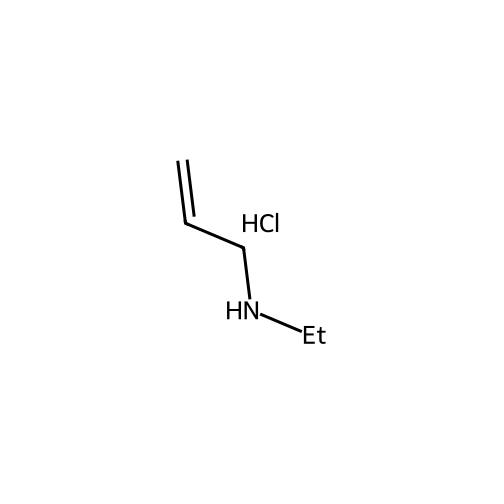 C=CCNCC.Cl